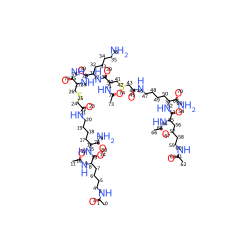 CC(=O)NCCCCC(NC(C)=O)C(=O)NC(CCCCNC(=O)CSCC(NC(=O)C(CCCCN)NC(=O)C(CSCC(=O)NCCCCC(NC(=O)C(CCCCNC(C)=O)NC(C)=O)C(N)=O)NC(C)=O)C(N)=O)C(N)=O